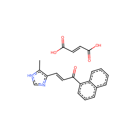 Cc1[nH]cnc1C=CC(=O)c1cccc2ccccc12.O=C(O)C=CC(=O)O